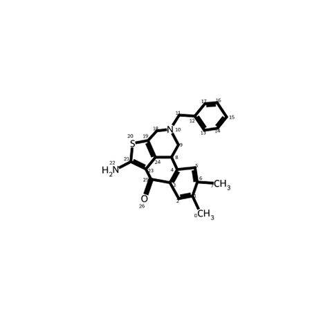 Cc1cc2c(cc1C)C1CN(Cc3ccccc3)Cc3sc(N)c(c31)C2=O